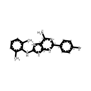 Cc1cccc(C)c1Nc1nc2c(N)nc(-c3ccc(Br)cc3)nc2s1